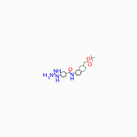 CC(C)(C)OC(=O)CC1CCc2ccc(NC(=O)c3ccc(NC(=N)N)cc3)cc2C1